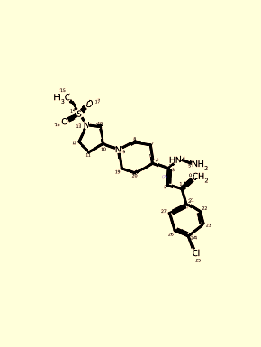 C=C(/C=C(\NN)C1CCN(C2CCN(S(C)(=O)=O)C2)CC1)c1ccc(Cl)cc1